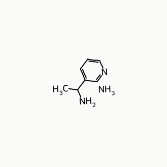 CC(N)c1cccnc1.N